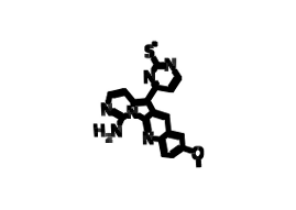 COc1ccc2nc3c(cc2c1)c(-c1ccnc(SC)n1)c1ccnc(N)n13